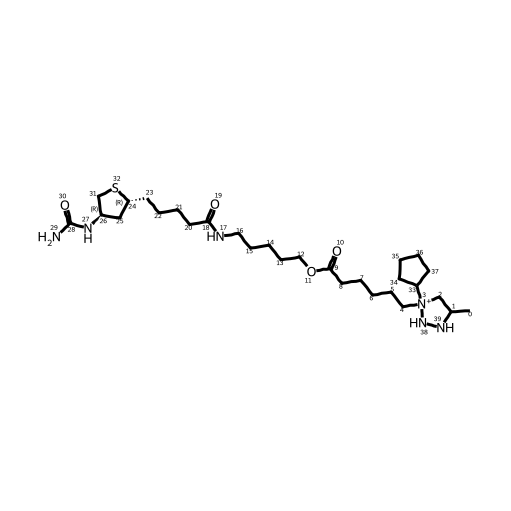 CC1C[N+](CCCCCC(=O)OCCCCCNC(=O)CCCC[C@@H]2C[C@@H](NC(N)=O)CS2)(C2CCCC2)NN1